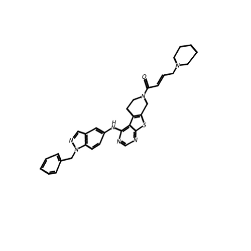 O=C(C=CCN1CCCCC1)N1CCc2c(sc3ncnc(Nc4ccc5c(cnn5Cc5ccccc5)c4)c23)C1